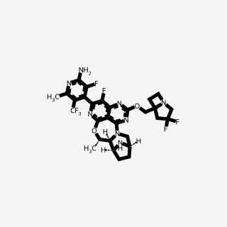 Cc1nc(N)c(F)c(-c2nc3c4c(nc(OCC56CCN5CC(F)(F)C6)nc4c2F)N2C[C@H]4CC[C@H](N4)[C@H]2[C@H](C)O3)c1C(F)(F)F